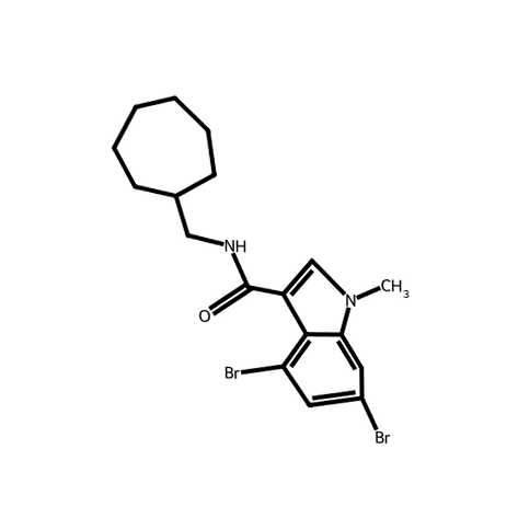 Cn1cc(C(=O)NCC2CCCCCC2)c2c(Br)cc(Br)cc21